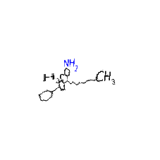 CCCCCCCCC(c1ccc(C2CCCCC2)cc1)c1ccc(N)cc1C